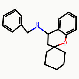 c1ccc(CNC2CC3(CCCCC3)Oc3ccccc32)cc1